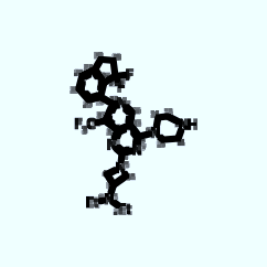 CCN(CC)C1CN(c2nc(N3CCNCC3)c3cnc(-c4cccc5c4C(F)(F)CC5)c(C(F)(F)F)c3n2)C1